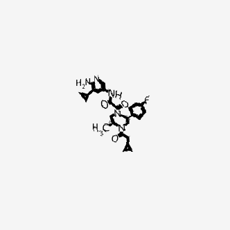 C[C@H]1CN(C(=O)C(=O)Nc2cnc(N)c(C3CC3)c2)[C@@H](c2ccc(F)cc2)CN1C(=O)CC1CC1